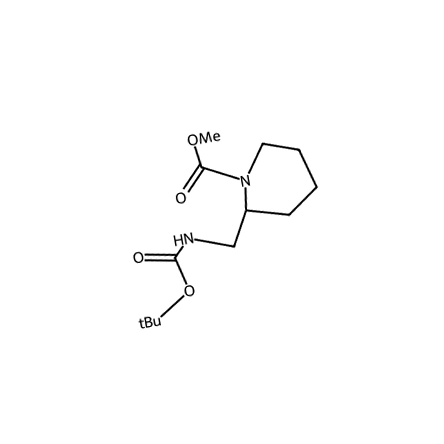 COC(=O)N1CCCCC1CNC(=O)OC(C)(C)C